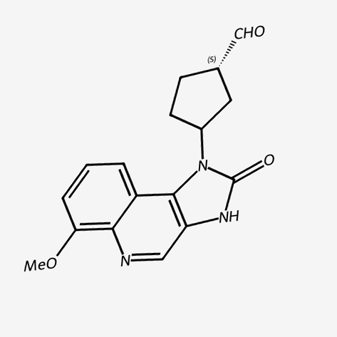 COc1cccc2c1ncc1[nH]c(=O)n(C3CC[C@H](C=O)C3)c12